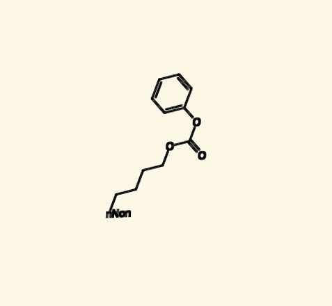 CCCCCCCCCCCCCOC(=O)Oc1ccccc1